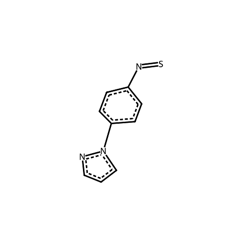 S=Nc1ccc(-n2cccn2)cc1